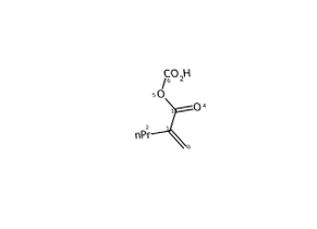 C=C(CCC)C(=O)OC(=O)O